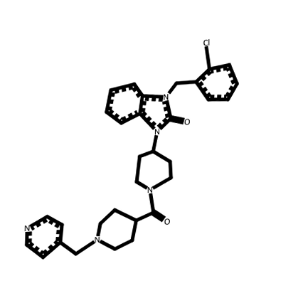 O=C(C1CCN(Cc2ccncc2)CC1)N1CCC(n2c(=O)n(Cc3ccccc3Cl)c3ccccc32)CC1